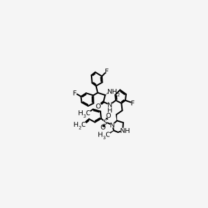 C=C/C=C(\C=C/C)S(=O)(=O)N1[C@@H](CCc2c(F)cccc2NC(=O)[C@@H](N)C(c2cccc(F)c2)c2cccc(F)c2)CNC[C@H]1C